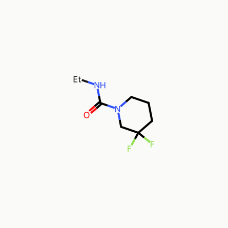 CCNC(=O)N1CCCC(F)(F)C1